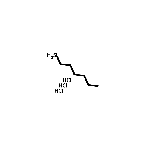 CCCCCC[SiH3].Cl.Cl.Cl